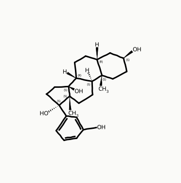 C[C@]12CC[C@H](O)C[C@H]1CC[C@@H]1[C@@H]2CC[C@]2(C)[C@@](O)(c3cccc(O)c3)CC[C@]12O